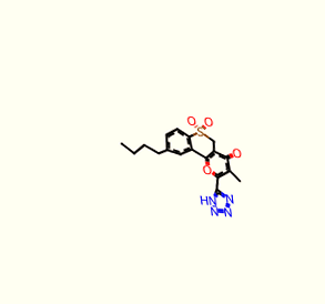 CCCCc1ccc2c(c1)-c1oc(-c3nnn[nH]3)c(C)c(=O)c1CS2(=O)=O